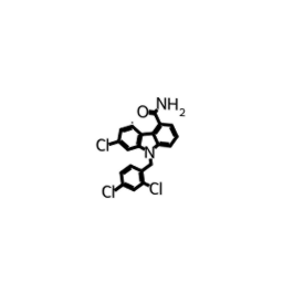 NC(=O)c1cccc2c1c1[c]cc(Cl)cc1n2Cc1ccc(Cl)cc1Cl